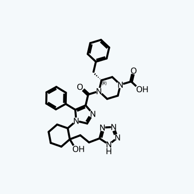 O=C(O)N1CCN(C(=O)c2ncn(C3CCCCC3(O)CCc3nnn[nH]3)c2-c2ccccc2)[C@H](Cc2ccccc2)C1